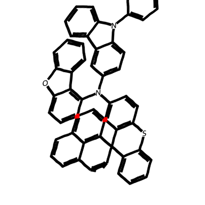 c1ccc(-n2c3ccccc3c3cc(N(c4ccc5c(c4)C4(c6ccccc6S5)c5ccccc5-c5cccc6cccc4c56)c4cccc5oc6ccccc6c45)ccc32)cc1